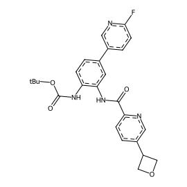 CC(C)(C)OC(=O)Nc1ccc(-c2ccc(F)nc2)cc1NC(=O)c1ccc(C2COC2)cn1